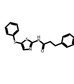 O=C(CCc1ccccc1)Nc1ncc(Sc2ccccc2)s1